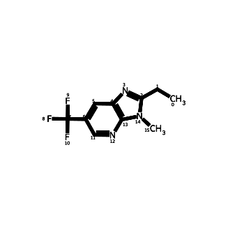 CCc1nc2cc(C(F)(F)F)cnc2n1C